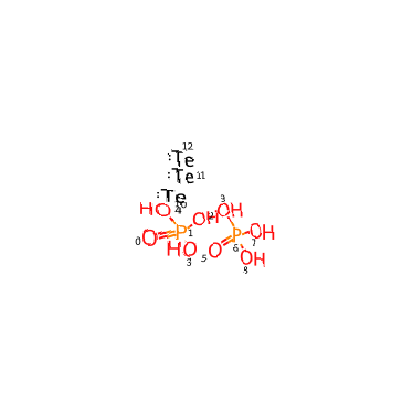 O=P(O)(O)O.O=P(O)(O)O.[Te].[Te].[Te]